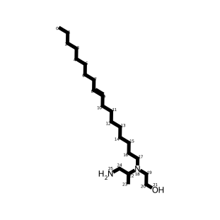 CCCCCCCCC=CCCCCCCCCN(CCO)C(C)CN